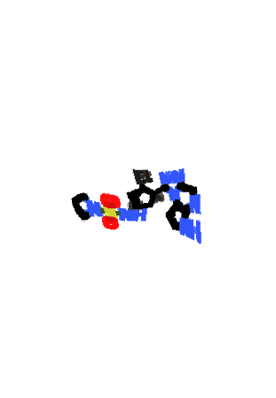 CCC1C[C@H](NS(=O)(=O)N2CCC2)C[C@@H]1c1nnc2cnc3[nH]ccc3n12